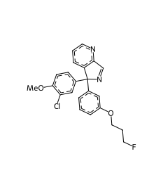 COc1ccc(C2(c3cccc(OCCCF)c3)N=Cc3ncccc32)cc1Cl